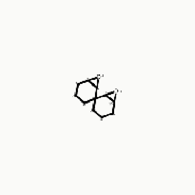 C1CC2OC2C2(C1)CCCC1OC12